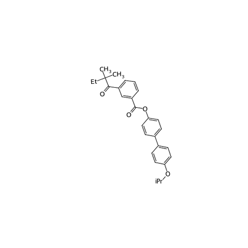 CCC(C)(C)C(=O)c1cccc(C(=O)Oc2ccc(-c3ccc(OC(C)C)cc3)cc2)c1